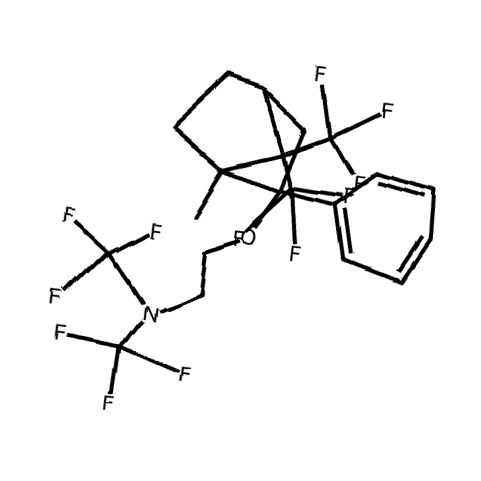 CC12CCC(CC1(OCCN(C(F)(F)F)C(F)(F)F)c1ccccc1)C2(C(F)(F)F)C(F)(F)F